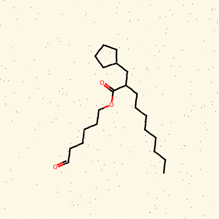 CCCCCCCCC(CC1CCCC1)C(=O)OCCCCCC=O